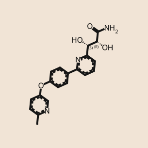 Cc1ccc(Oc2ccc(-c3cccc([C@H](O)[C@@H](O)C(N)=O)n3)cc2)cn1